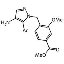 COC(=O)c1ccc(Cn2ncc(N)c2C(C)=O)c(OC)c1